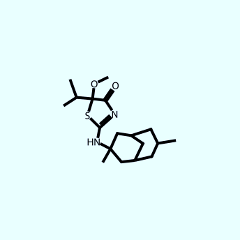 COC1(C(C)C)SC(NC2(C)CC3CC(C)CC(C3)C2)=NC1=O